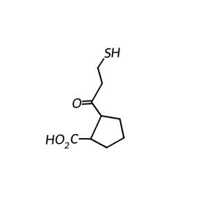 O=C(O)C1CCCC1C(=O)CCS